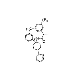 C[C@H](C(=O)NC1(c2ccccc2)CCC(c2ccccn2)CC1)c1cc(C(F)(F)F)cc(C(F)(F)F)c1